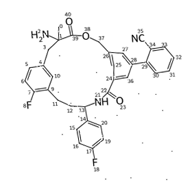 CC1(N)Cc2ccc(F)c(c2)CCC(c2ccc(F)cc2)NC(=O)c2cc(cc(-c3ccccc3C#N)c2)COC1=O